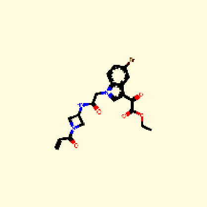 C=CC(=O)N1CC(NC(=O)Cn2cc(C(=O)C(=O)OCC)c3cc(Br)ccc32)C1